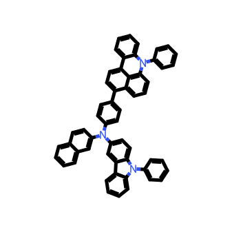 c1ccc(N2c3ccccc3-c3ccc(-c4ccc(N(c5ccc6ccccc6c5)c5ccc6c(c5)c5ccccc5n6-c5ccccc5)cc4)c4cccc2c34)cc1